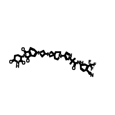 CC(C)(C(=O)Nc1ccc(C#N)c(C(F)(F)F)c1)n1cc(N2CCC3(CC2)CN(C2CN(c4ccc5c(c4)C(=O)N(C4CCC(=O)NC4=O)C5=O)C2)C3)cn1